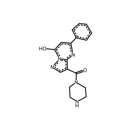 O=C(c1cnn2c(O)cc(-c3ccccc3)nc12)N1CCNCC1